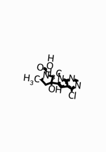 C[C@H]1CC(O)(c2cc3c(Cl)ncnc3n2C)CN1C(=O)O